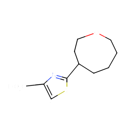 CCOC(=O)c1csc(C2CCCCOCC2)n1